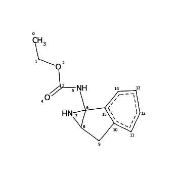 CCOC(=O)NC12NC1Cc1ccccc12